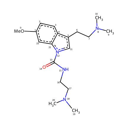 COc1ccc2c(CCN(C)C)cn(C(=O)NCCN(C)C)c2c1